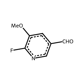 COc1cc(C=O)cnc1F